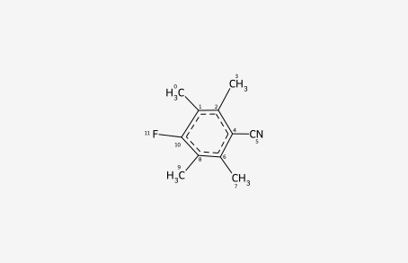 Cc1c(C)c(C#N)c(C)c(C)c1F